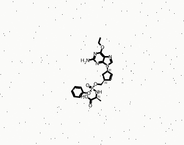 CCOc1nc(N)nc2c1ncn2[C@H]1C=C[C@@H](COP(=O)(N[C@@H](C)C(=O)O)Oc2ccccc2)C1